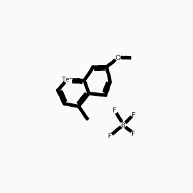 COc1ccc2c(C)cc[te+]c2c1.F[B-](F)(F)F